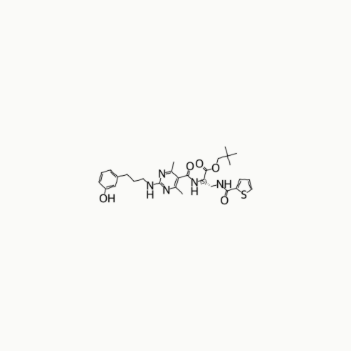 Cc1nc(NCCCc2cccc(O)c2)nc(C)c1C(=O)N[C@@H](CNC(=O)c1cccs1)C(=O)OCC(C)(C)C